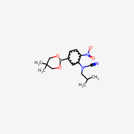 CC(C)CN(C#N)c1cc(B2OCC(C)(C)CO2)ccc1[N+](=O)[O-]